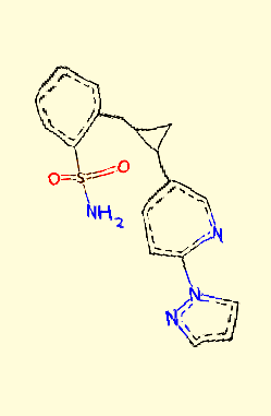 NS(=O)(=O)c1ccccc1C1CC1c1ccc(-n2cccn2)nc1